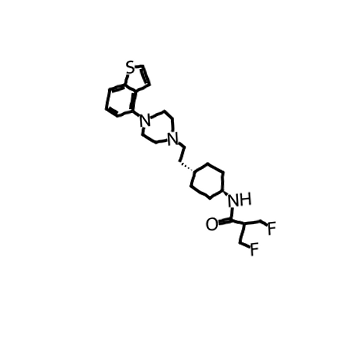 O=C(N[C@H]1CC[C@H](CCN2CCN(c3cccc4sccc34)CC2)CC1)C(CF)CF